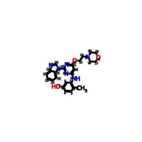 Cc1ccc(O)cc1Nc1cc(OCCN2CCOCC2)nc(-n2cnc3ccccc32)n1